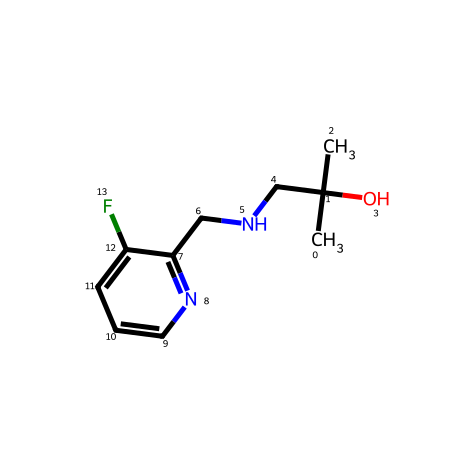 CC(C)(O)CNCc1ncccc1F